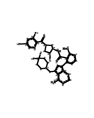 COc1nccc(-c2cc(CN3CCC(F)(F)CC3)c3c(N)ncnn23)c1C(=O)N[C@@H]1CN(C(=O)c2ncc(F)cc2F)C[C@@H]1F